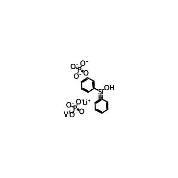 O=P([O-])([O-])[O-].O=P([O-])([O-])[O-].O[SiH](c1ccccc1)c1ccccc1.[Li+].[V+5]